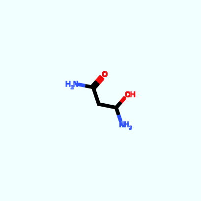 NC(=O)CC(N)O